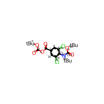 CC(C)(C)OC(=O)OC(=O)c1cc(Cl)c(N(C(=O)OC(C)(C)C)C(C)(C)C)c(Cl)c1